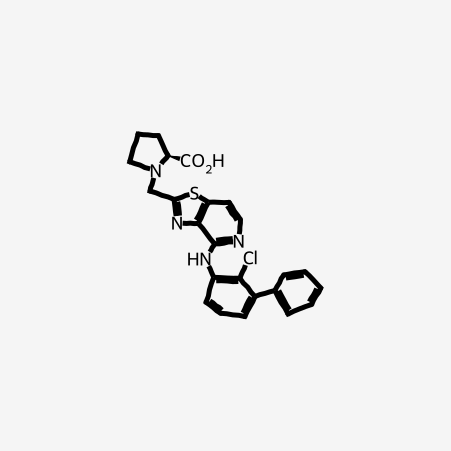 O=C(O)[C@@H]1CCCN1Cc1nc2c(Nc3cccc(-c4ccccc4)c3Cl)nccc2s1